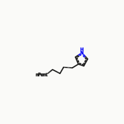 CCCCCCCCCc1cc[nH]c1